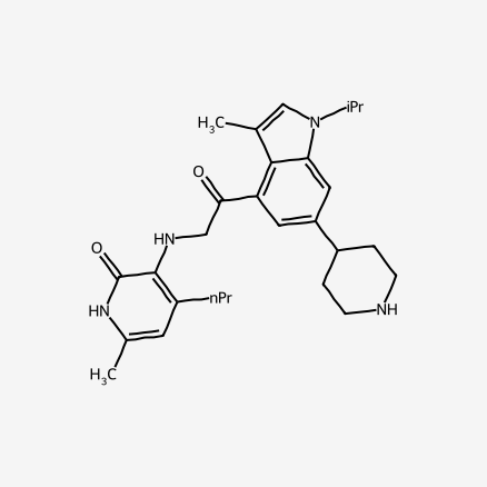 CCCc1cc(C)[nH]c(=O)c1NCC(=O)c1cc(C2CCNCC2)cc2c1c(C)cn2C(C)C